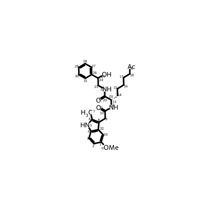 COc1ccc2[nH]c(C)c(CC(=O)N[C@@H](CCCCCC(C)=O)C(=O)NCC(O)c3ccccc3)c2c1